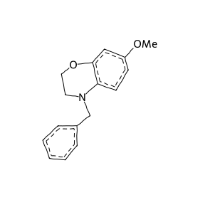 COc1ccc2c(c1)OCCN2Cc1ccccc1